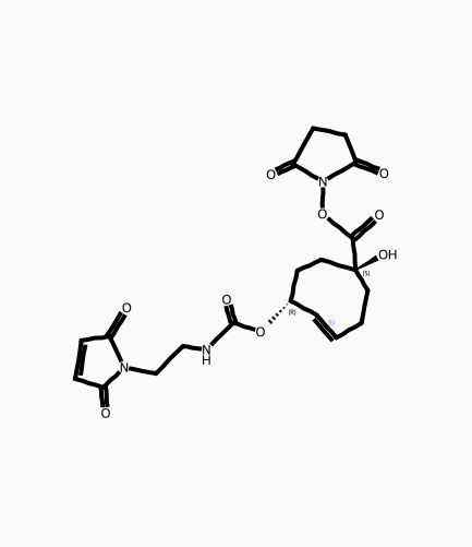 O=C(NCCN1C(=O)C=CC1=O)O[C@H]1/C=C/CC[C@@](O)(C(=O)ON2C(=O)CCC2=O)CC1